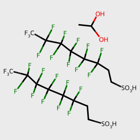 CC(O)O.O=S(=O)(O)CCC(F)(F)C(F)(F)C(F)(F)C(F)(F)C(F)(F)C(F)(F)F.O=S(=O)(O)CCC(F)(F)C(F)(F)C(F)(F)C(F)(F)C(F)(F)C(F)(F)F